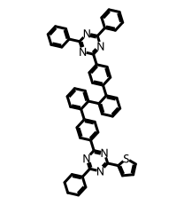 C1=CC(c2nc(-c3ccc(-c4ccccc4-c4ccccc4-c4ccc(-c5nc(-c6ccccc6)nc(-c6ccccc6)n5)cc4)cc3)nc(-c3cccs3)n2)=CCC1